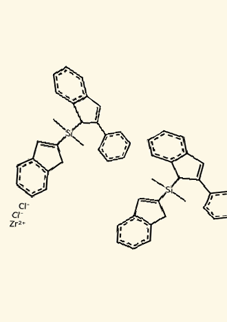 C[Si](C)(C1=Cc2ccccc2C1)C1C(c2ccccc2)=Cc2ccccc21.C[Si](C)(C1=Cc2ccccc2C1)C1C(c2ccccc2)=Cc2ccccc21.[Cl-].[Cl-].[Zr+2]